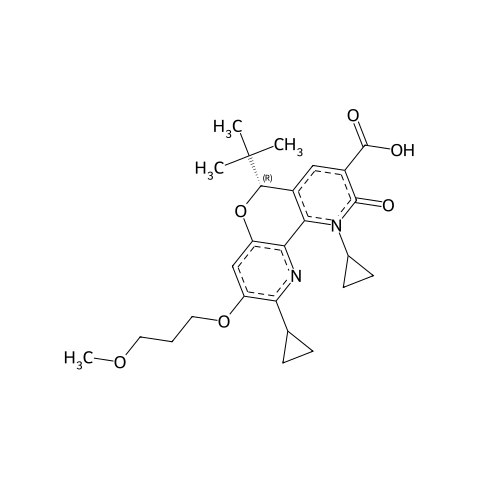 COCCCOc1cc2c(nc1C1CC1)-c1c(cc(C(=O)O)c(=O)n1C1CC1)[C@@H](C(C)(C)C)O2